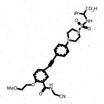 COCCOc1ccc(C#Cc2ccc(N3CCN(S(=O)(=O)NC(C(=O)O)C(C)C)CC3)cc2)cc1C(=O)NCC#N